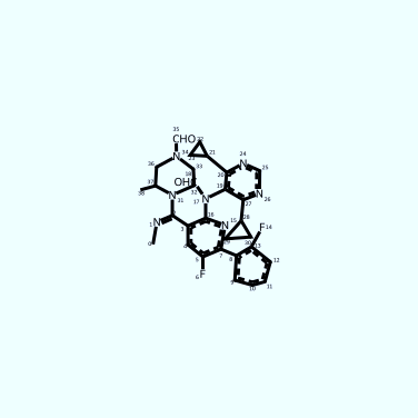 C/N=C(\c1cc(F)c(-c2ccccc2F)nc1N(C=O)c1c(C2CC2)ncnc1C1CC1)N1CCN(C=O)CC1C